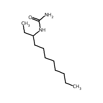 CCCCCCCCC(CC)NC(N)=O